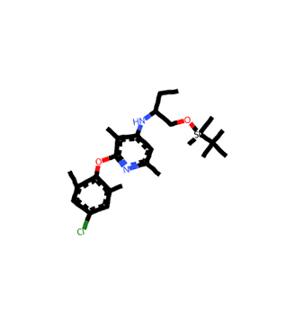 CCC(CO[Si](C)(C)C(C)(C)C)Nc1cc(C)nc(Oc2c(C)cc(Cl)cc2C)c1C